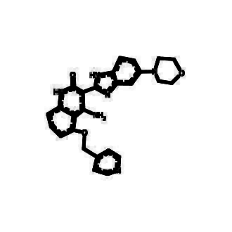 Nc1c(-c2nc3cc(N4CCOCC4)ccc3[nH]2)c(=O)[nH]c2cccc(OCc3ccncc3)c12